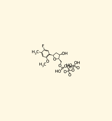 COc1cc(C)c(F)cc1[C@H]1C[C@@H](O)[C@@H](COP(=O)(O)OP(=O)(O)OP(=O)(O)O)O1